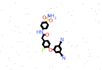 N#Cc1cc(C#N)cc(Oc2ccc(CC(=O)Nc3ccc(S(N)(=O)=O)cc3)cc2F)c1